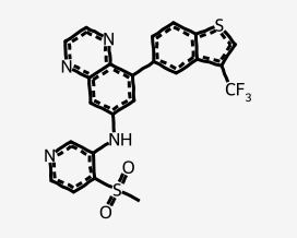 CS(=O)(=O)c1ccncc1Nc1cc(-c2ccc3scc(C(F)(F)F)c3c2)c2nccnc2c1